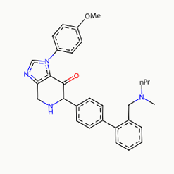 CCCN(C)Cc1ccccc1-c1ccc(C2NCc3ncn(-c4ccc(OC)cc4)c3C2=O)cc1